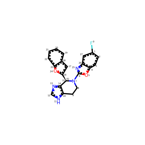 Fc1ccc2oc(N3CCc4[nH]cnc4[C@H]3c3cc4ccccc4o3)nc2c1